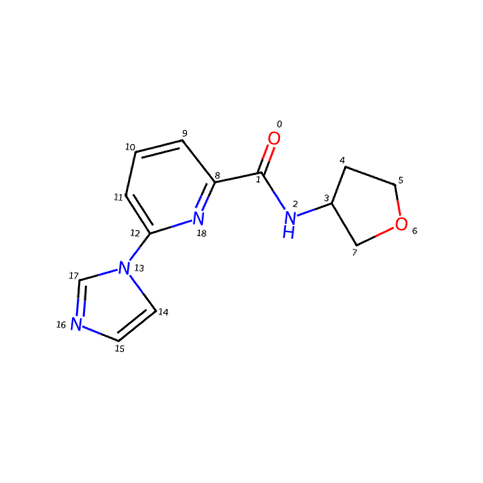 O=C(NC1CCOC1)c1cccc(-n2ccnc2)n1